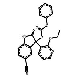 CCOc1ncccc1C1(OC(=O)Oc2ccccc2)C(=O)Nc2ccc(C#N)cc21